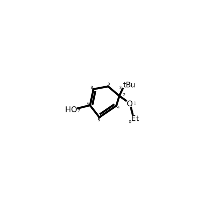 CCOC1(C(C)(C)C)C=CC(O)=CC1